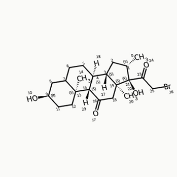 C[C@H]1C[C@H]2[C@@H]3CCC4C[C@H](O)CC[C@]4(C)[C@H]3C(=O)C[C@]2(C)[C@@]1(O)C(=O)CBr